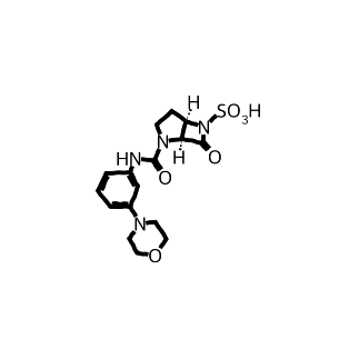 O=C(Nc1cccc(N2CCOCC2)c1)N1CC[C@@H]2[C@H]1C(=O)N2S(=O)(=O)O